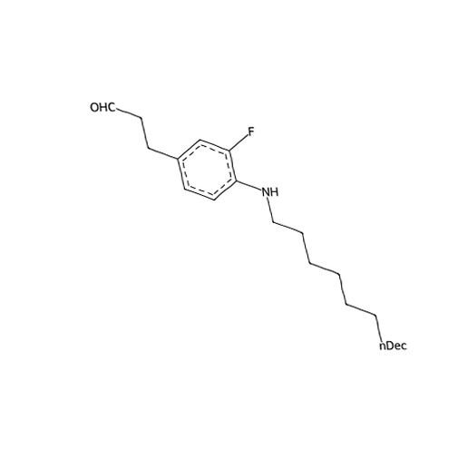 CCCCCCCCCCCCCCCCNc1ccc(CCC=O)cc1F